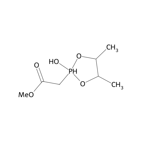 COC(=O)C[PH]1(O)OC(C)C(C)O1